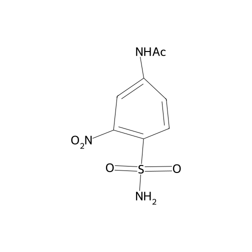 CC(=O)Nc1ccc(S(N)(=O)=O)c([N+](=O)[O-])c1